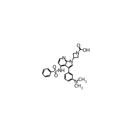 CN(C)c1cccc(-c2cn(C3CN(C(=O)O)C3)c3nccc(NS(=O)(=O)c4ccccc4)c23)c1